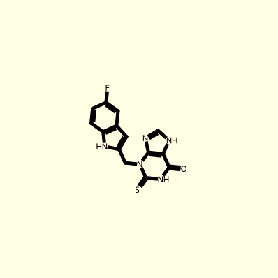 O=c1[nH]c(=S)n(Cc2cc3cc(F)ccc3[nH]2)c2nc[nH]c12